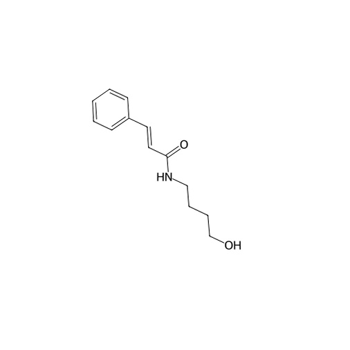 O=C(/C=C/c1ccccc1)NCCCCO